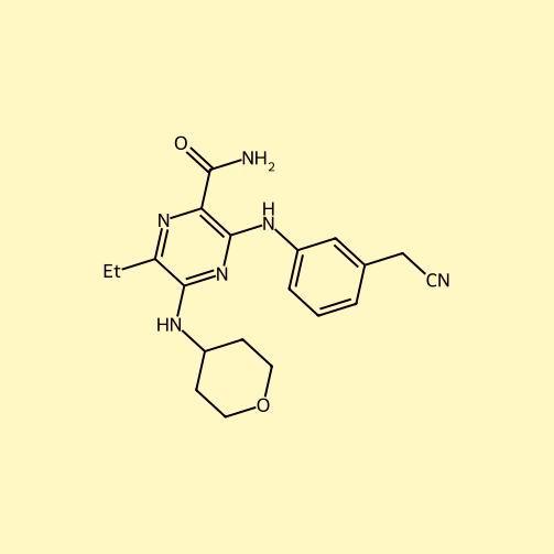 CCc1nc(C(N)=O)c(Nc2cccc(CC#N)c2)nc1NC1CCOCC1